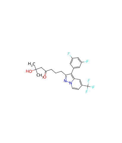 CC(C)(O)CC(=O)CCCc1nn2ccc(C(F)(F)F)cc2c1-c1cc(F)cc(F)c1